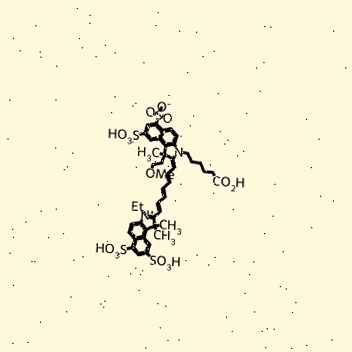 CC[N+]1=C(/C=C/C=C/C=C/C=C2/N(CCCCCC(=O)O)c3ccc4c(S(=O)(=O)[O-])cc(S(=O)(=O)O)cc4c3C2(C)CCOC)C(C)(C)c2c1ccc1c(S(=O)(=O)O)cc(S(=O)(=O)O)cc21